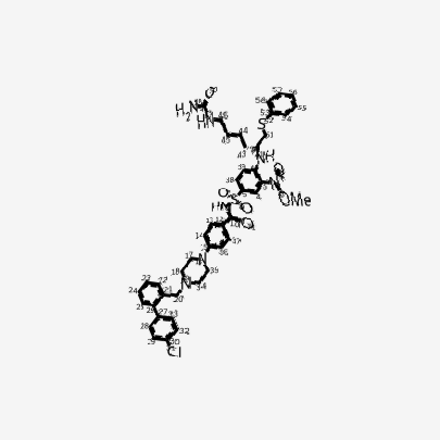 CO[N+](=O)c1cc(S(=O)(=O)NC(=O)c2ccc(N3CCN(Cc4ccccc4-c4ccc(Cl)cc4)CC3)cc2)ccc1N[C@H](CCCCNC(N)=O)CSc1ccccc1